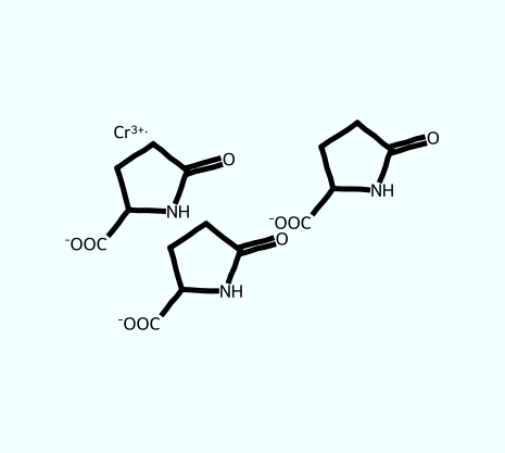 O=C1CCC(C(=O)[O-])N1.O=C1CCC(C(=O)[O-])N1.O=C1CCC(C(=O)[O-])N1.[Cr+3]